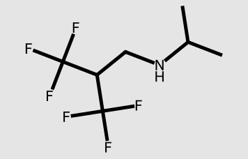 CC(C)NCC(C(F)(F)F)C(F)(F)F